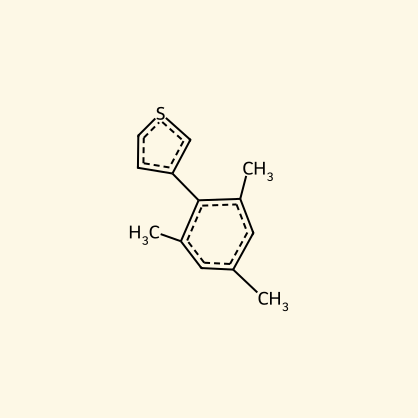 Cc1cc(C)c(-c2ccsc2)c(C)c1